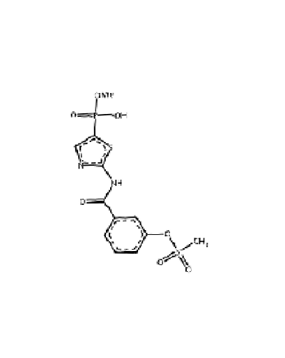 COP(=O)(O)c1cnc(NC(=O)c2cccc(OS(C)(=O)=O)c2)s1